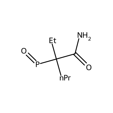 CCCC(CC)(P=O)C(N)=O